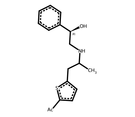 CC(=O)c1ccc(CC(C)NC[C@H](O)c2ccccc2)s1